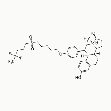 C[C@]12C[C@H](c3ccc(OCCCCCS(=O)(=O)CCCC(F)(F)C(F)(F)F)cc3)[C@@H]3c4ccc(O)cc4CC[C@H]3[C@@H]1CC[C@@H]2O